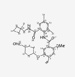 COc1cc(F)c(OC2CCC(C=O)CC2)cc1C(=O)Nc1c(C)cc(C)cc1C(=O)NCC1(C)CCC1